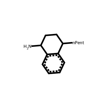 CCCCCC1CCC(N)c2ccccc21